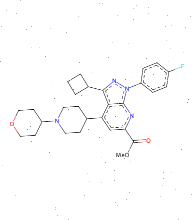 COC(=O)c1cc(C2CCN(C3CCOCC3)CC2)c2c(C3CCC3)nn(-c3ccc(F)cc3)c2n1